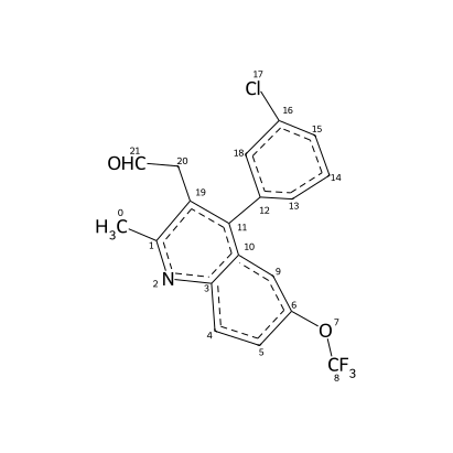 Cc1nc2ccc(OC(F)(F)F)cc2c(-c2cccc(Cl)c2)c1CC=O